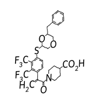 C=C(C(=O)N1CCC(C(=O)O)CC1)c1ccc(SC2COCC(Cc3ccccc3)O2)c(C(F)(F)F)c1C(F)(F)F